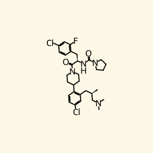 C[C@H](Cc1cc(Cl)ccc1C1CCN(C(=O)[C@@H](Cc2ccc(Cl)cc2F)NC(=O)N2CCCC2)CC1)CN(C)C